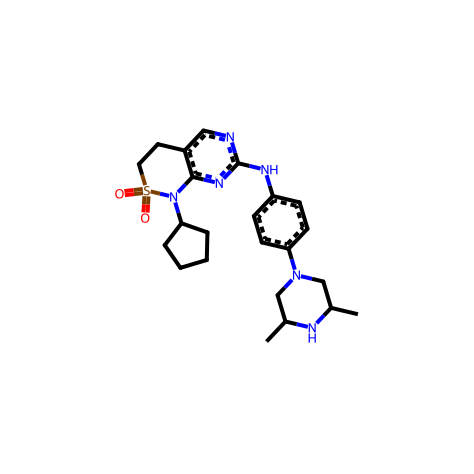 CC1CN(c2ccc(Nc3ncc4c(n3)N(C3CCCC3)S(=O)(=O)CC4)cc2)CC(C)N1